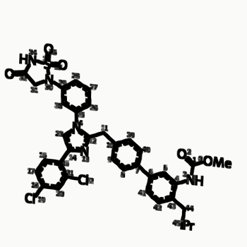 COC(=O)Nc1cc(-c2ccc(Cc3nc(-c4ccc(Cl)cc4Cl)cn3-c3cccc(N4CC(=O)NS4(=O)=O)c3)cc2)ccc1CC(C)C